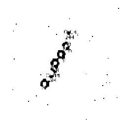 CC(=O)NC[C@H]1CN(c2ccc(-c3ccn4cc(NC(=O)Nc5cccnc5)nc4c3)c(F)c2)C(=O)O1